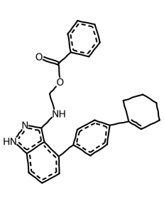 O=C(OCNc1n[nH]c2cccc(-c3ccc(C4=CCCCC4)cc3)c12)c1ccccc1